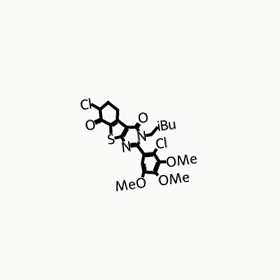 CCC(C)Cn1c(-c2cc(OC)c(OC)c(OC)c2Cl)nc2sc3c(c2c1=O)CCC(Cl)C3=O